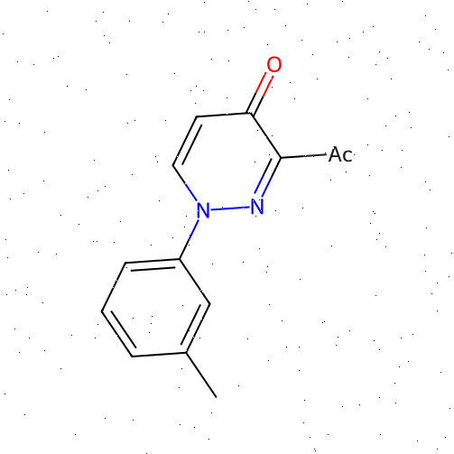 CC(=O)c1nn(-c2cccc(C)c2)ccc1=O